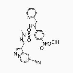 CN(N=Cc1cnn2ccc(C#N)cc12)S(=O)(=O)c1cc([N+](=O)[O-])ccc1NCc1ccccn1.Cl